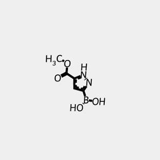 COC(=O)c1cc(B(O)O)n[nH]1